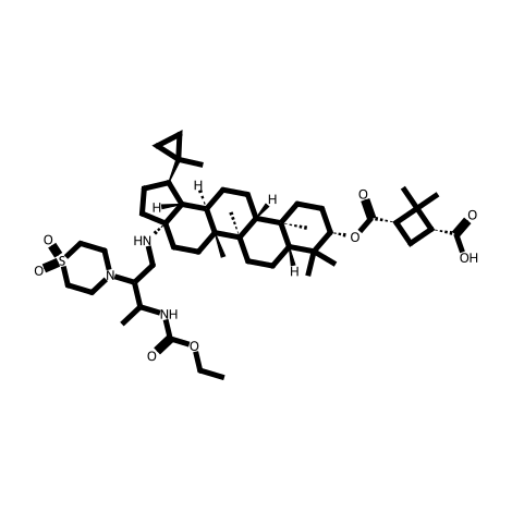 CCOC(=O)NC(C)C(CN[C@]12CC[C@@H](C3(C)CC3)[C@@H]1[C@H]1CC[C@@H]3[C@@]4(C)CC[C@H](OC(=O)[C@H]5C[C@@H](C(=O)O)C5(C)C)C(C)(C)[C@@H]4CC[C@@]3(C)[C@]1(C)CC2)N1CCS(=O)(=O)CC1